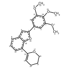 COc1cc(-c2cc3nccc(C4=CCCCO4)c3o2)cc(OC)c1OC